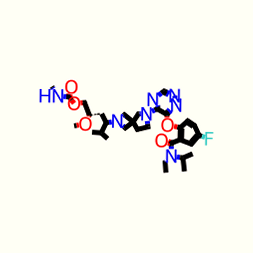 CCN(C(=O)c1cc(F)ccc1Oc1nncnc1N1CCC2(C1)CN(C(C[C@@H](COC(=O)NC)OC)C(C)C)C2)C(C)C